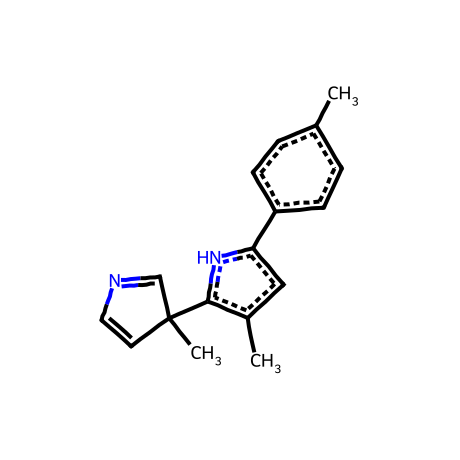 Cc1ccc(-c2cc(C)c(C3(C)C=CN=C3)[nH]2)cc1